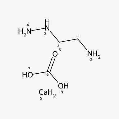 NCCNN.O=C(O)O.[CaH2]